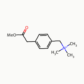 COC(=O)Cc1ccc(C[N+](C)(C)C)cc1